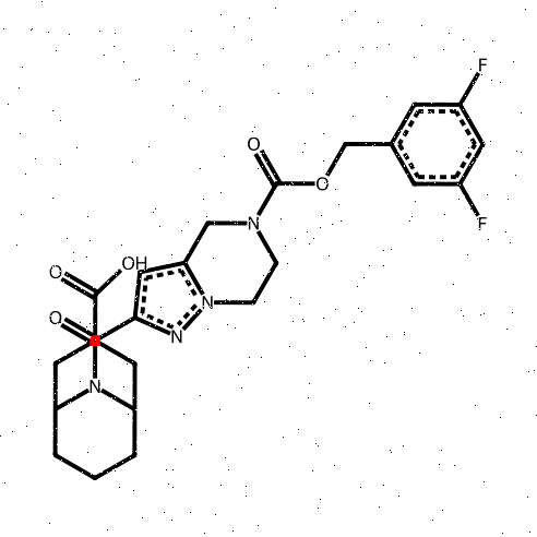 O=C(O)C1CC2CCCC(C1)N2C(=O)c1cc2n(n1)CCN(C(=O)OCc1cc(F)cc(F)c1)C2